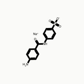 Nc1ccc(C(=O)Nc2ccc(S(=O)(=O)[O-])cc2)cc1.[Na+]